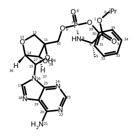 CC(C)OC(=O)[C@H](C)N[P@@](=O)(OCC12CO[C@@H](C(n3cnc4c(N)ncnc43)O1)[C@@H]2O)Oc1ccccc1